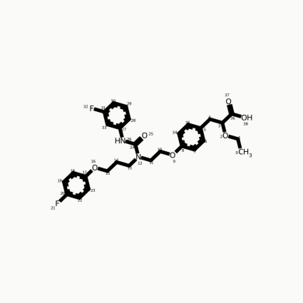 CCOC(Cc1ccc(OCCN(CCCOc2ccc(F)cc2)C(=O)Nc2cccc(F)c2)cc1)C(=O)O